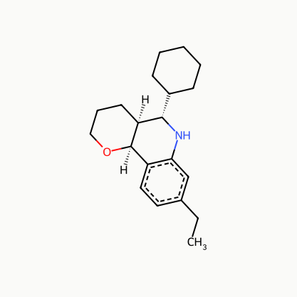 CCc1ccc2c(c1)N[C@@H](C1CCCCC1)[C@@H]1CCCO[C@H]21